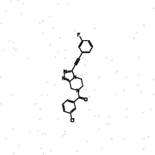 O=C(c1cccc(Cl)c1)N1CCn2c(C#Cc3cccc(F)c3)nnc2C1